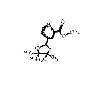 COC(=O)c1cc(C2OC(C)(C)C(C)(C)O2)ccn1